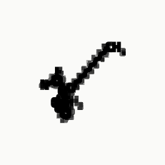 CCCCCCCCCCCCCCCOC[C@H](COP(=O)(OC)Oc1ccccc1Cl)OCc1cc(F)cc(C#N)c1